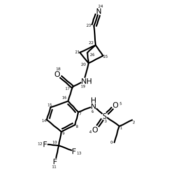 CC(C)S(=O)(=O)Nc1cc(C(F)(F)F)ccc1C(=O)NC12CC(C#N)(C1)C2